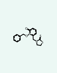 O=c1cccc(CN2CCSC2=S)n1OCc1ccccc1